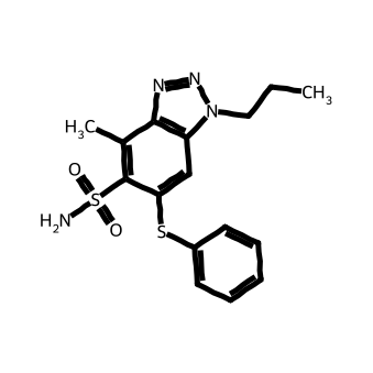 CCCn1nnc2c(C)c(S(N)(=O)=O)c(Sc3ccccc3)cc21